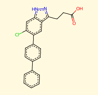 O=C(O)CCc1n[nH]c2cc(Cl)c(-c3ccc(-c4ccccc4)cc3)cc12